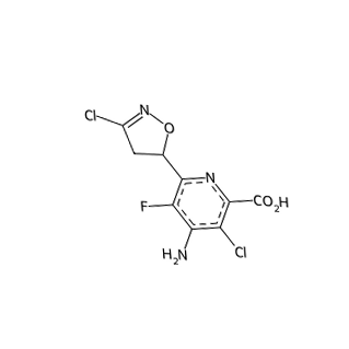 Nc1c(F)c(C2CC(Cl)=NO2)nc(C(=O)O)c1Cl